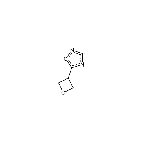 [c]1noc(C2COC2)n1